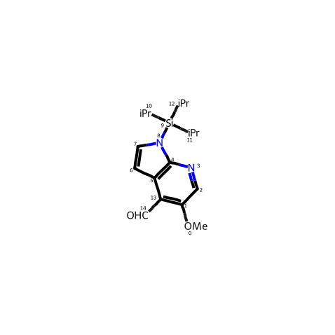 COc1cnc2c(ccn2[Si](C(C)C)(C(C)C)C(C)C)c1C=O